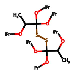 CC(C)OC(C)C(OC(C)C)(OC(C)C)SSC(OC(C)C)(OC(C)C)C(C)OC(C)C